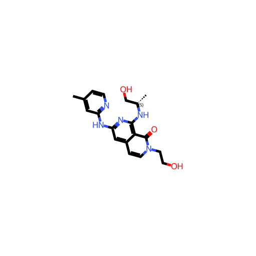 Cc1ccnc(Nc2cc3ccn(CCO)c(=O)c3c(N[C@@H](C)CO)n2)c1